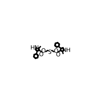 Cc1[nH]cc(-c2ccccc2)c1C(=O)OCCSCCOC(=O)c1c(-c2ccccc2)c[nH]c1C